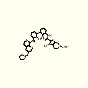 Cn1c(C(=O)Nc2cccc(-c3cccc(Nc4nccc5cc(CN6CCCC6)cnc45)c3Cl)c2Cl)nc2c1CCN(C=O)C2